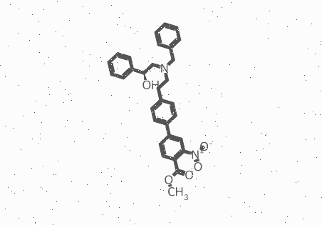 COC(=O)c1ccc(-c2ccc(CCN(Cc3ccccc3)C[C@@H](O)c3ccccc3)cc2)cc1[N+](=O)[O-]